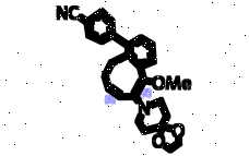 CO/C1=C(N2CCC3(CC2)OCCO3)/C=C\CCc2c1cccc2-c1ccc(C#N)cc1